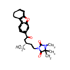 CN1C(=O)N(CC[C@@H](CC(=O)c2ccc3c4c(oc3c2)CCCC4)C(=O)O)C(=O)C1(C)C